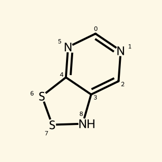 c1ncc2c(n1)SSN2